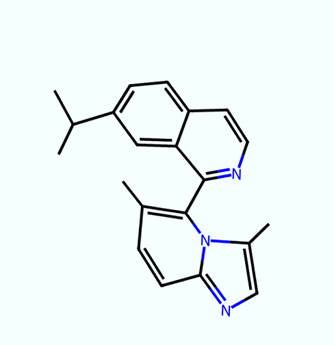 Cc1ccc2ncc(C)n2c1-c1nccc2ccc(C(C)C)cc12